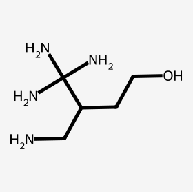 NCC(CCO)C(N)(N)N